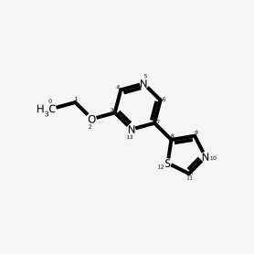 CCOc1cncc(-c2cn[c]s2)n1